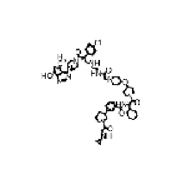 C[C@@H]1C[C@@H](O)c2ncnc(N3CCN(C(=O)[C@H](CNCCNC(=O)CN4CCC(OC5CCN(C(=O)[C@H](NC(=O)c6cccc(C7CCCN(C(=O)CNC8CC8)C7)c6)C6CCCCC6)CC5)CC4)c4ccc(Cl)cc4)CC3)c21